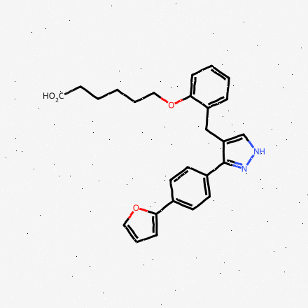 O=C(O)CCCCCOc1ccccc1Cc1c[nH]nc1-c1ccc(-c2ccco2)cc1